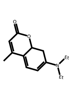 CCN(CC)C1=CC=C2C(C)=CC(=O)OC2C1